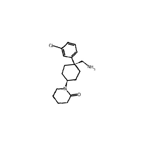 NC[C@]1(c2cccc(Cl)c2)CC[C@H](N2CCCCC2=O)CC1